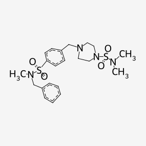 CN(Cc1ccccc1)S(=O)(=O)c1ccc(CN2CCN(S(=O)(=O)N(C)C)CC2)cc1